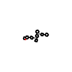 c1ccc(-c2ccc(-n3c4ccccc4c4cc5c(cc43)c3ccccc3n5-c3ccc(-c4ccc5ccccc5c4)cc3)cc2)cc1